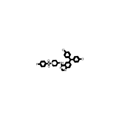 O=S(=O)(c1ccc(F)cc1)N1CCC(Nc2ncnc3ccc(C(c4ccc(Cl)cc4)c4ccc(Cl)cc4)cc23)CC1